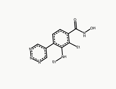 CCNc1c(-c2cnnnc2)ccc(C(=O)NO)c1CC